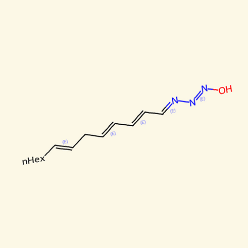 CCCCCC/C=C/C/C=C/C=C/C=N/N=N/O